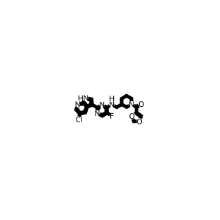 O=C(C1=COCO1)N1CCCC(CNc2nc(-c3c[nH]c4ncc(Cl)cc34)ncc2F)C1